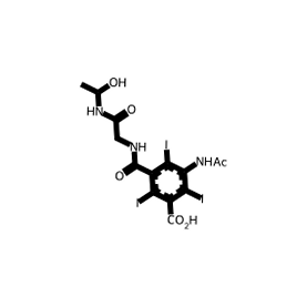 CC(=O)Nc1c(I)c(C(=O)O)c(I)c(C(=O)NCC(=O)NC(C)O)c1I